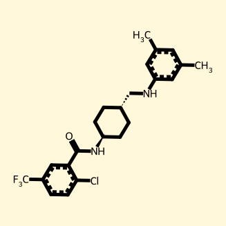 Cc1cc(C)cc(NC[C@H]2CC[C@H](NC(=O)c3cc(C(F)(F)F)ccc3Cl)CC2)c1